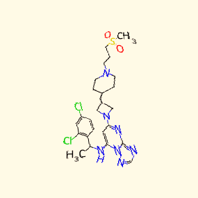 CC(Nc1cc(N2CC(C3CCN(CCCS(C)(=O)=O)CC3)C2)nc2ncnn12)c1ccc(Cl)cc1Cl